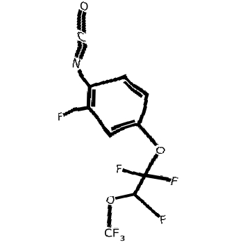 O=C=Nc1ccc(OC(F)(F)C(F)OC(F)(F)F)cc1F